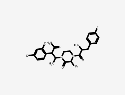 CCCC1C(=O)N(C(C)C(C(N)=O)c2ccc(Cl)cc2Cl)CCN1C(=O)C(N)Cc1ccc(F)cc1